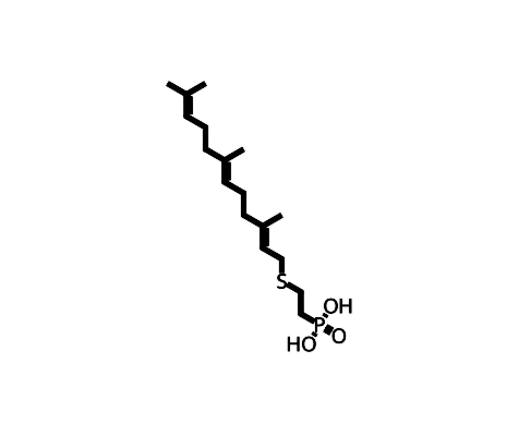 CC(C)=CCC/C(C)=C/CC/C(C)=C/CSCCP(=O)(O)O